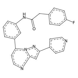 O=C(Cc1ccc(F)cc1)Nc1cccc(-c2ccnc3cc(-c4ccncc4)nn23)c1